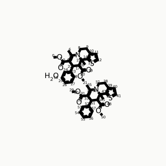 COC(=O)C1=C(C)N2CCc3ccsc3C2(C)C(C(=O)OC)C1c1ccccc1.COC(=O)C1=C(C)N2CCc3ccsc3C2(C)C(C(=O)OC)C1c1ccccc1.O